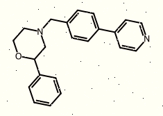 c1ccc(C2CN(Cc3ccc(-c4ccncc4)cc3)CCO2)cc1